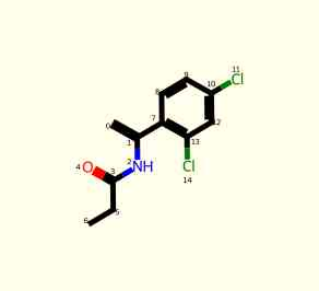 C=C(NC(=O)CC)c1ccc(Cl)cc1Cl